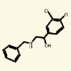 OC(CNCc1ccccc1)c1ccc(Cl)c(Cl)c1